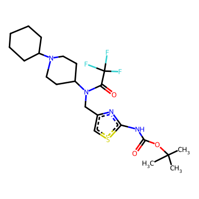 CC(C)(C)OC(=O)Nc1nc(CN(C(=O)C(F)(F)F)C2CCN(C3CCCCC3)CC2)cs1